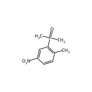 Cc1ccc([N+](=O)[O-])cc1P(C)(C)=O